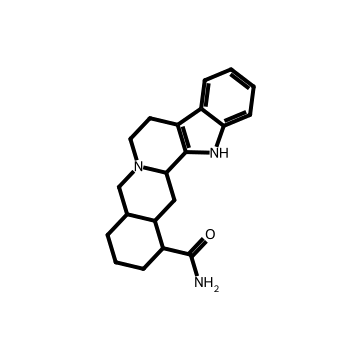 NC(=O)C1CCCC2CN3CCc4c([nH]c5ccccc45)C3CC21